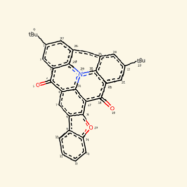 CC(C)(C)c1cc2c(=O)c3cc4c5ccccc5oc4c4c(=O)c5cc(C(C)(C)C)cc6c(c1)c2n(c56)c34